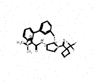 CN(C)C(=O)C(=O)N[C@H]1CCN(C(=O)C2(C(F)(F)F)CCC2)[C@H]1Cc1cccc(-c2cccc(F)c2)c1